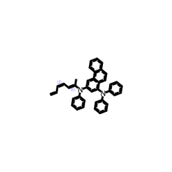 C=C/C=C\C=C(/C)N(c1ccccc1)c1cc(N(c2ccccc2)c2ccccc2)c2ccc3ccccc3c2c1